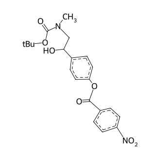 CN(CC(O)c1ccc(OC(=O)c2ccc([N+](=O)[O-])cc2)cc1)C(=O)OC(C)(C)C